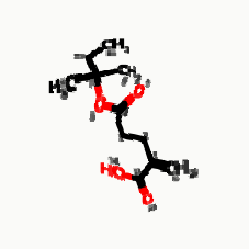 C=C(CCC(=O)OC(C)(C)CC)C(=O)O